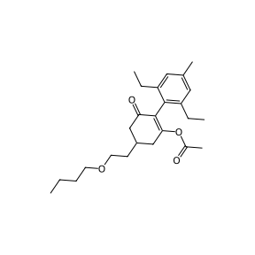 CCCCOCCC1CC(=O)C(c2c(CC)cc(C)cc2CC)=C(OC(C)=O)C1